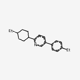 CCc1ccc(-c2ccc(C3CCC(CC)CC3)nc2)cc1